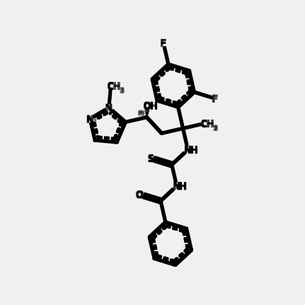 Cn1nccc1[C@H](O)CC(C)(NC(=S)NC(=O)c1ccccc1)c1ccc(F)cc1F